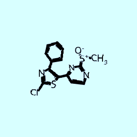 C[S+]([O-])c1nccc(-c2sc(Cl)nc2-c2ccccc2)n1